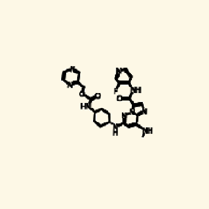 CNc1cc(N[C@H]2CC[C@H](NC(=O)OCc3cnccn3)CC2)nn2c(C(=O)Nc3ccncc3F)cnc12